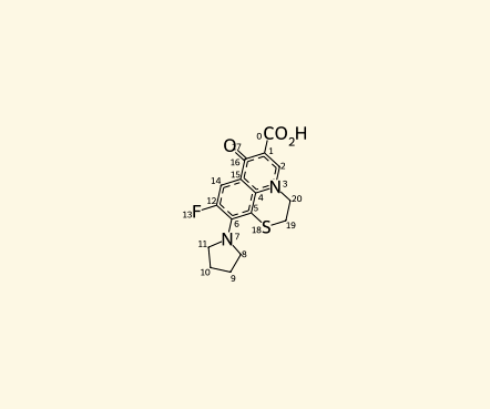 O=C(O)c1cn2c3c(c(N4CCCC4)c(F)cc3c1=O)SCC2